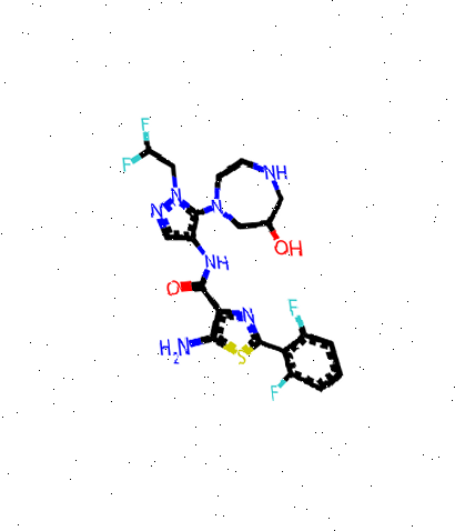 Nc1sc(-c2c(F)cccc2F)nc1C(=O)Nc1cnn(CC(F)F)c1N1CCNCC(O)C1